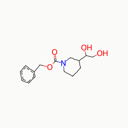 O=C(OCc1ccccc1)N1CCCC(C(O)CO)C1